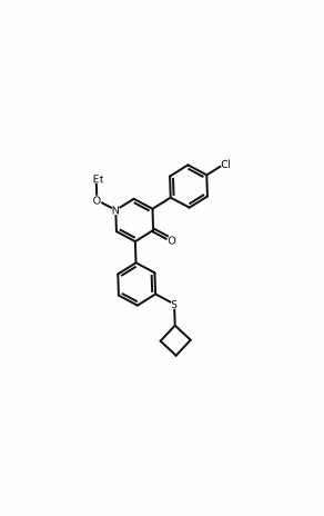 CCOn1cc(-c2ccc(Cl)cc2)c(=O)c(-c2cccc(SC3CCC3)c2)c1